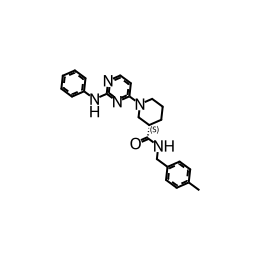 Cc1ccc(CNC(=O)[C@H]2CCCN(c3ccnc(Nc4ccccc4)n3)C2)cc1